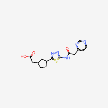 O=C(O)CC1CCC(c2nnc(NC(=O)Cc3ccncn3)s2)C1